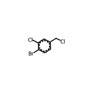 ClCc1ccc(Br)c(Cl)c1